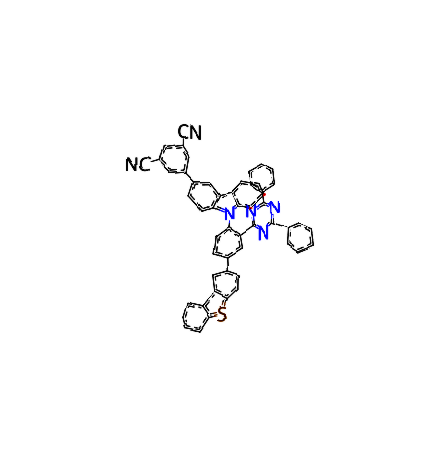 N#Cc1cc(C#N)cc(-c2ccc3c(c2)c2ccccc2n3-c2ccc(-c3ccc4sc5ccccc5c4c3)cc2-c2nc(-c3ccccc3)nc(-c3ccccc3)n2)c1